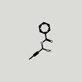 CC#CC(O)OC(=O)c1ccccc1